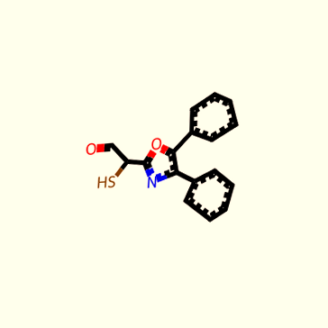 O=CC(S)c1nc(-c2ccccc2)c(-c2ccccc2)o1